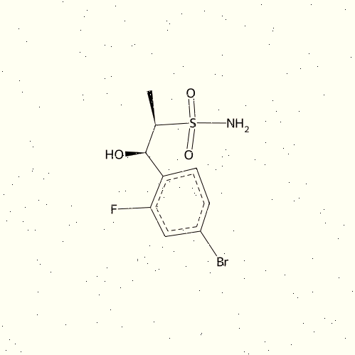 C[C@H]([C@H](O)c1ccc(Br)cc1F)S(N)(=O)=O